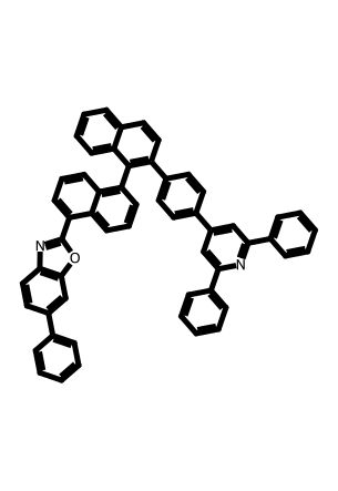 c1ccc(-c2ccc3nc(-c4cccc5c(-c6c(-c7ccc(-c8cc(-c9ccccc9)nc(-c9ccccc9)c8)cc7)ccc7ccccc67)cccc45)oc3c2)cc1